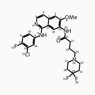 COc1cc2ccnc(Nc3ccc(F)c(Cl)c3)c2cc1NC(=O)CCCN1CCC(F)(F)CC1